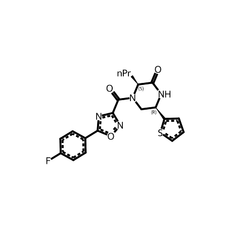 CCC[C@H]1C(=O)N[C@@H](c2cccs2)CN1C(=O)c1noc(-c2ccc(F)cc2)n1